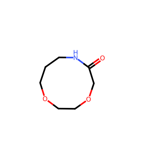 O=C1COCCOCCCN1